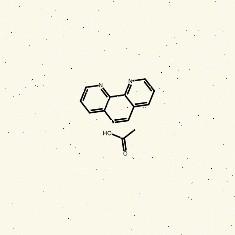 CC(=O)O.c1cnc2c(c1)ccc1cccnc12